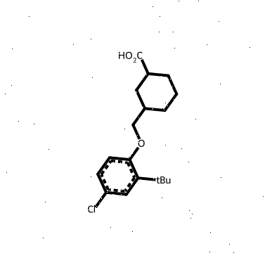 CC(C)(C)c1cc(Cl)ccc1OCC1CCCC(C(=O)O)C1